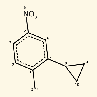 [CH2]c1ccc([N+](=O)[O-])cc1C1CC1